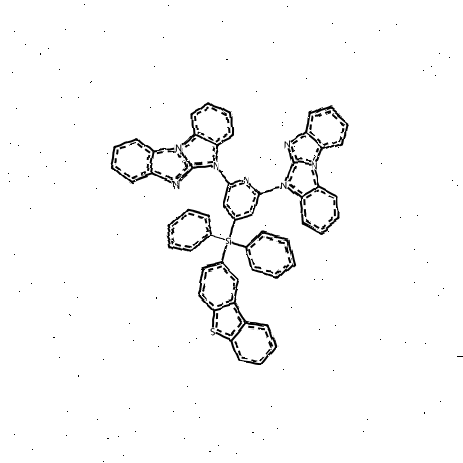 c1ccc([Si](c2ccccc2)(c2cc(-n3c4ccccc4n4c5ccccc5nc34)nc(-n3c4ccccc4n4c5ccccc5nc34)c2)c2ccc3sc4ccccc4c3c2)cc1